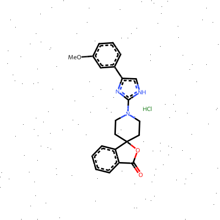 COc1cccc(-c2c[nH]c(N3CCC4(CC3)OC(=O)c3ccccc34)n2)c1.Cl